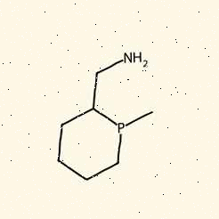 CP1CCCCC1CN